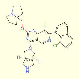 Fc1c(-c2cccc3cccc(Cl)c23)ncc2c(N3C[C@H]4CNC[C@H]4C3)nc(OCC34CCCN3CCC4)nc12